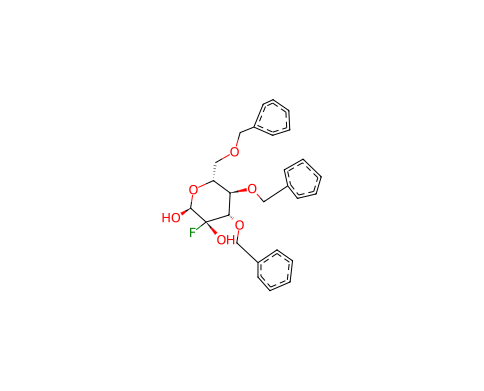 O[C@H]1O[C@H](COCc2ccccc2)[C@@H](OCc2ccccc2)[C@H](OCc2ccccc2)[C@]1(O)F